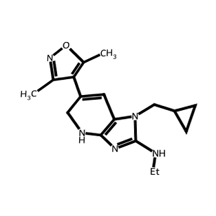 CCNc1nc2c(n1CC1CC1)C=C(c1c(C)noc1C)CN2